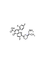 C/C(CN)=C1\CCCN(c2nc3c(cc2F)c(=O)c(C(=O)O)cn3-c2ccc(F)cc2F)C1